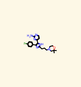 CC1(C)CN(CCCc2nc(-c3ccc(F)cc3)c(-c3ccnc(N)n3)[nH]2)CCO1